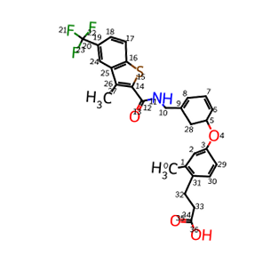 Cc1cc(OC2C=CC=C(CNC(=O)c3sc4ccc(C(F)(F)F)cc4c3C)C2)ccc1CCC(=O)O